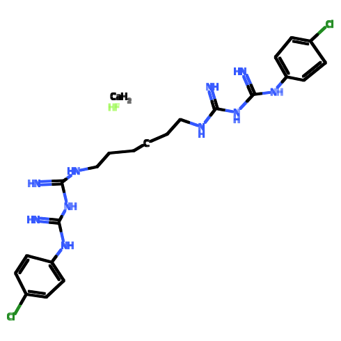 F.N=C(NCCCCCCNC(=N)NC(=N)Nc1ccc(Cl)cc1)NC(=N)Nc1ccc(Cl)cc1.[CaH2]